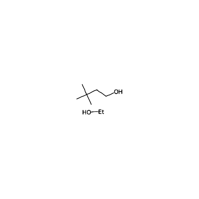 CC(C)(C)CCO.CCO